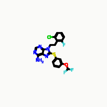 Nc1ncnc2c1nc(Sc1cccc(OC(F)F)c1)n2CCc1c(F)cccc1Cl